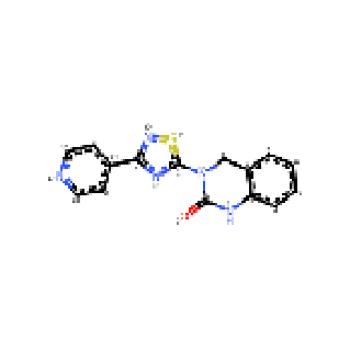 O=C1Nc2ccccc2CN1c1nc(-c2ccncc2)ns1